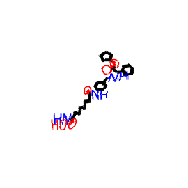 O=C(CCCCCCC(=O)Nc1ccc(CNC(C(=O)OC2CCCC2)c2ccccc2)cc1)NO